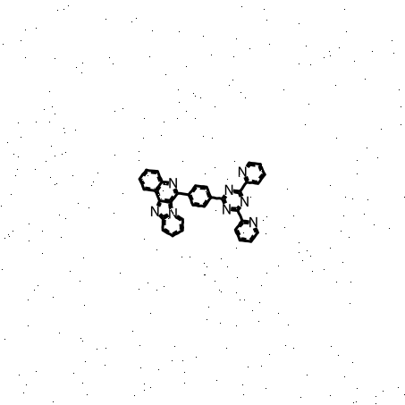 c1ccc(-c2nc(-c3ccc(-c4nc5ccccc5c5nc6ccccn6c45)cc3)nc(-c3ccccn3)n2)nc1